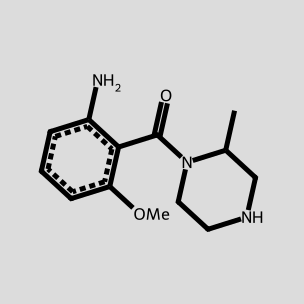 COc1cccc(N)c1C(=O)N1CCNCC1C